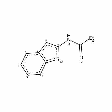 CCC(=O)Nc1cc2ccccc2s1